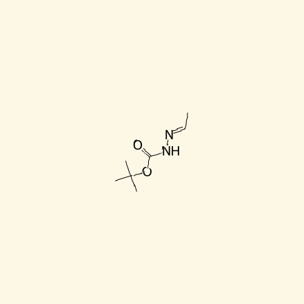 C/C=N/NC(=O)OC(C)(C)C